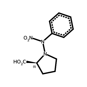 O=C(O)[C@@H]1CCCN1N(c1ccccc1)[N+](=O)[O-]